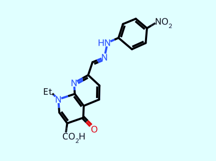 CCn1cc(C(=O)O)c(=O)c2ccc(C=NNc3ccc([N+](=O)[O-])cc3)nc21